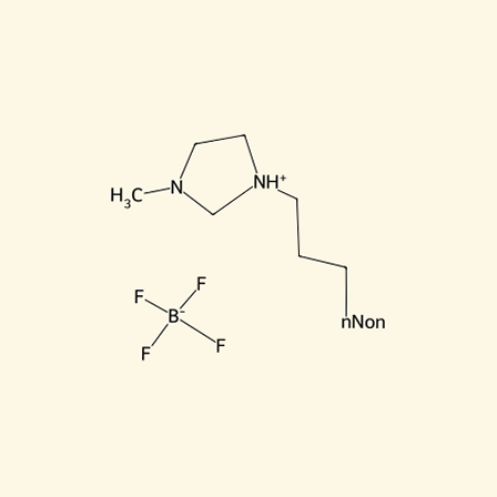 CCCCCCCCCCCC[NH+]1CCN(C)C1.F[B-](F)(F)F